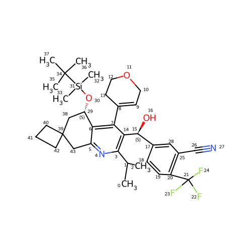 CC(C)c1nc2c(c(C3=CCOCC3)c1[C@@H](O)c1ccc(C(F)(F)F)c(C#N)c1)[C@@H](O[Si](C)(C)C(C)(C)C)CC1(CCC1)C2